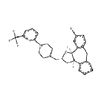 Fc1ccc2c(c1)[C@@H]1O[C@@H](CN3CCN(c4cccc(C(F)(F)F)n4)CC3)C[C@@H]1c1ccccc1C2